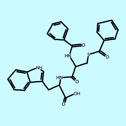 O=C(NC(CSC(=O)c1ccccc1)C(=O)NC(Cc1c[nH]c2ccccc12)C(=O)O)c1ccccc1